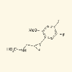 COc1cc(F)c(F)cc1C1CC1CNC(=O)O